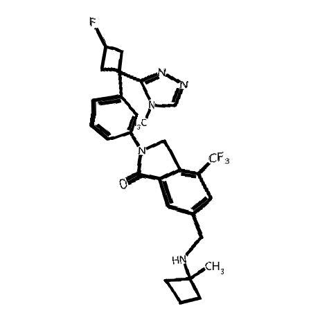 Cn1cnnc1C1(c2cccc(N3Cc4c(cc(CNC5(C)CCC5)cc4C(F)(F)F)C3=O)c2)CC(F)C1